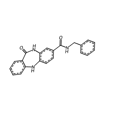 O=C(NCc1ccccc1)c1ccc2c(c1)NC(=O)c1ccccc1N2